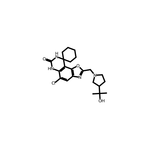 CC(C)(O)C1CCN(Cc2nc3cc(Cl)c4c(c3o2)C2(CCCCC2)NC(=O)N4)C1